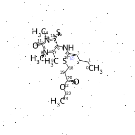 CCC/C=C(/Nc1c(C)n(C)c(=O)n(C)c1=S)SCCC(=O)OCC